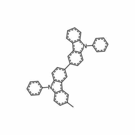 Cc1ccc2c(c1)c1cc(-c3ccc4c(c3)c3ccccc3n4-c3ccccc3)ccc1n2-c1ccccc1